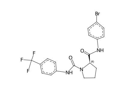 O=C(Nc1ccc(Br)cc1)[C@H]1CCCN1C(=O)Nc1ccc(C(F)(F)F)cc1